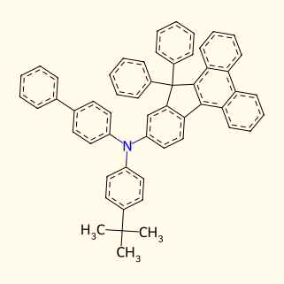 CC(C)(C)c1ccc(N(c2ccc(-c3ccccc3)cc2)c2ccc3c(c2)C(c2ccccc2)(c2ccccc2)c2c-3c3ccccc3c3ccccc23)cc1